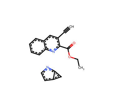 C#Cc1cc2ccccc2nc1C(=O)OCC.c1cc2cc-2n1